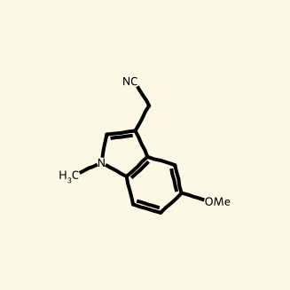 COc1ccc2c(c1)c(CC#N)cn2C